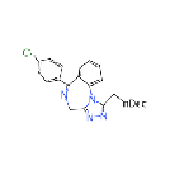 CCCCCCCCCCCc1nnc2n1-c1ccccc1C(c1ccc(Cl)cc1)=NC2